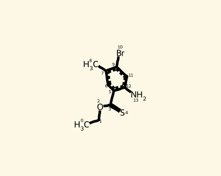 CCOC(=S)c1cc(C)c(Br)cc1N